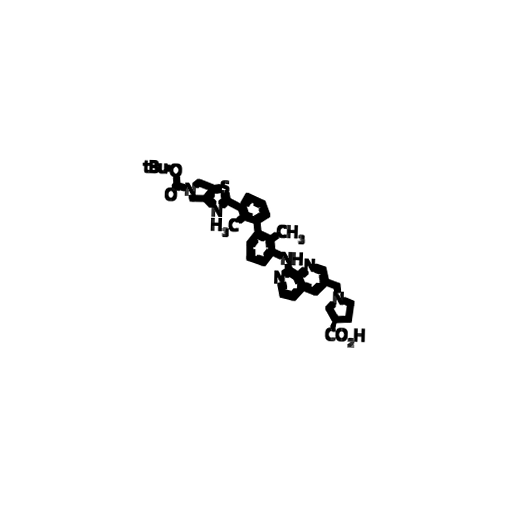 Cc1c(Nc2nccc3cc(CN4CC[C@@H](C(=O)O)C4)cnc23)cccc1-c1cccc(-c2nc3c(s2)CN(C(=O)OC(C)(C)C)C3)c1C